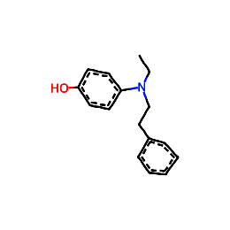 CCN(CCc1ccccc1)c1ccc(O)cc1